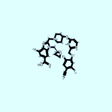 N#Cc1cc(F)c(OCc2nccc(OC3CCN(Cc4nc5c(F)cc(C(=O)O)cc5n4C[C@@H]4CCO4)CC3)n2)cc1F